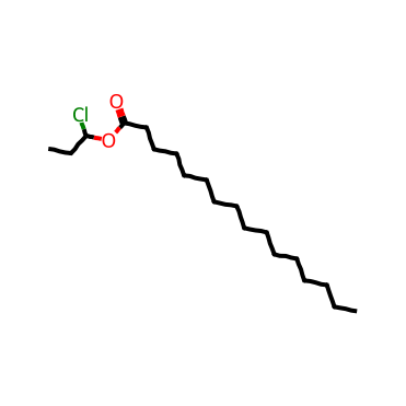 CCCCCCCCCCCCCCCC(=O)OC(Cl)CC